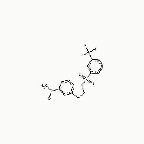 C[S+]([O-])c1ccc2c(c1)CCN2S(=O)(=O)c1cccc(C(F)(F)F)c1